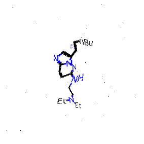 CCCC/C=C/c1cnc2ccc(NCCN(CC)CC)nn12